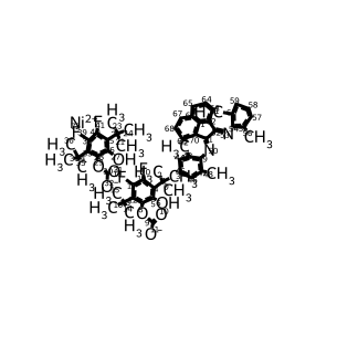 CC(C)(C)c1c(O)c(OC(=O)[O-])c(C(C)(C)C)c(F)c1F.CC(C)(C)c1c(O)c(OC(=O)[O-])c(C(C)(C)C)c(F)c1F.Cc1cccc(C)c1N=C1C(=Nc2c(C)cccc2C)c2cccc3cccc1c23.[Ni+2]